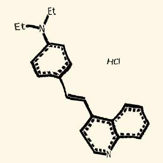 CCN(CC)c1ccc(C=Cc2ccnc3ccccc23)cc1.Cl